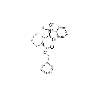 CC[N+]([O-])(C(=O)C1CCCCN1C(=O)OCc1ccccc1)c1ccccc1